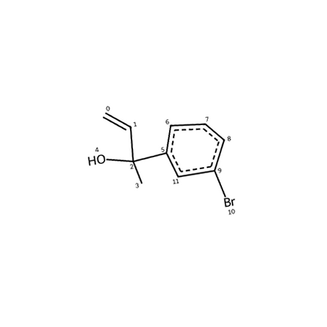 C=CC(C)(O)c1cccc(Br)c1